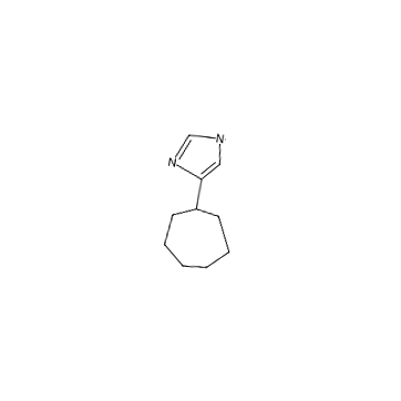 C1=NC(C2CCCCCC2)=C[N]1